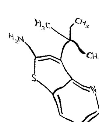 CC(C)(C)c1c(N)sc2cccnc12